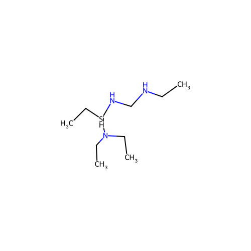 CCNCN[SiH](CC)N(CC)CC